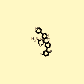 NC1=N[C@@]2(COC1)c1cc(-c3cc(F)ccc3F)ccc1Oc1ncc(-c3ccncc3)cc12